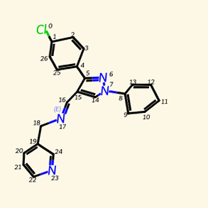 Clc1ccc(-c2nn(-c3ccccc3)cc2/C=N/Cc2cccnc2)cc1